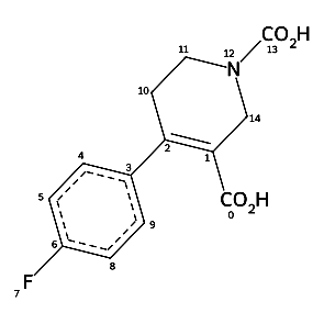 O=C(O)C1=C(c2ccc(F)cc2)CCN(C(=O)O)C1